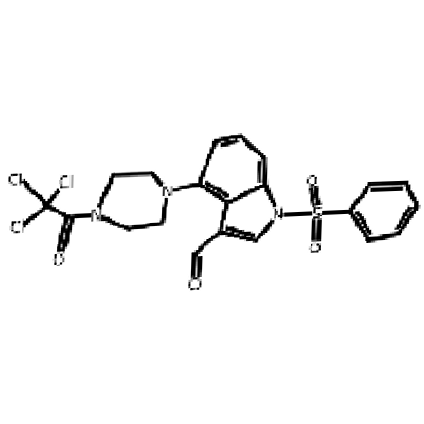 O=Cc1cn(S(=O)(=O)c2ccccc2)c2cccc(N3CCN(C(=O)C(Cl)(Cl)Cl)CC3)c12